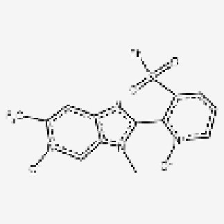 CCS(=O)(=O)c1ccc[n+]([O-])c1-c1nc2cc(C(F)(F)F)[n+]([O-])cc2n1C